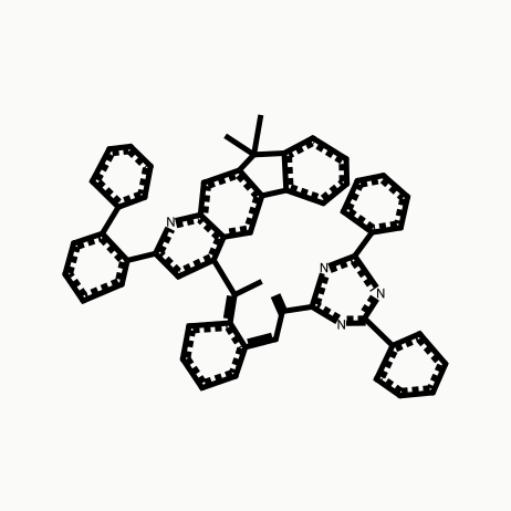 C=C(/C=c1/cccc/c1=C(/C)c1cc(-c2ccccc2-c2ccccc2)nc2cc3c(cc12)-c1ccccc1C3(C)C)c1nc(-c2ccccc2)nc(-c2ccccc2)n1